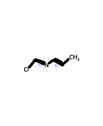 C/C=C/N=C/Cl